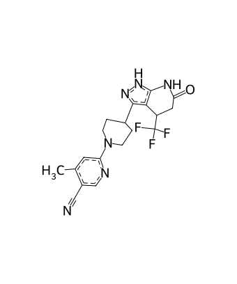 Cc1cc(N2CCC(c3n[nH]c4c3C(C(F)(F)F)CC(=O)N4)CC2)ncc1C#N